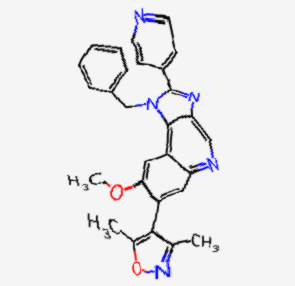 COc1cc2c(cc1-c1c(C)noc1C)ncc1nc(-c3ccncc3)n(Cc3ccccc3)c12